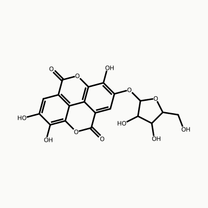 O=c1oc2c(O)c(OC3OC(CO)C(O)C3O)cc3c(=O)oc4c(O)c(O)cc1c4c23